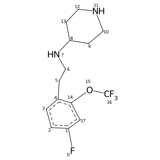 Fc1ccc(CCNC2CCNCC2)c(OC(F)(F)F)c1